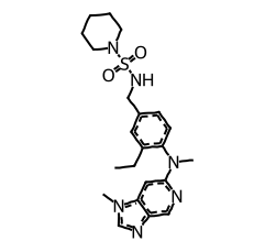 CCc1cc(CNS(=O)(=O)N2CCCCC2)ccc1N(C)c1cc2c(cn1)ncn2C